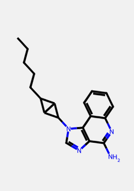 CCCCCC1C2C1C2n1cnc2c(N)nc3ccccc3c21